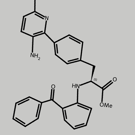 COC(=O)[C@H](Cc1ccc(-c2nc(C)ccc2N)cc1)Nc1ccccc1C(=O)c1ccccc1